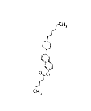 CCCCCC[C@H]1CC[C@H](c2ccc3cc(OC(=O)CCCCC)ccc3c2)CC1